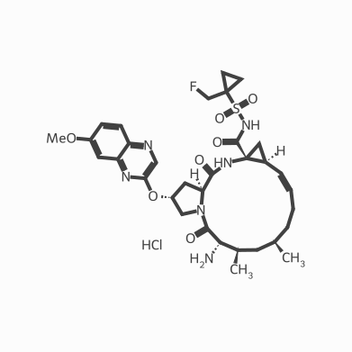 COc1ccc2ncc(O[C@@H]3C[C@H]4C(=O)N[C@]5(C(=O)NS(=O)(=O)C6(CF)CC6)C[C@H]5/C=C\CC[C@@H](C)C[C@@H](C)[C@H](N)C(=O)N4C3)nc2c1.Cl